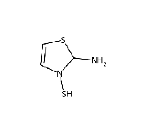 NC1SC=CN1S